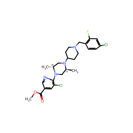 COC(=O)c1cnc(N2C[C@H](C)N(C3CCN(Cc4ccc(Cl)cc4F)CC3)C[C@H]2C)c(Cl)c1